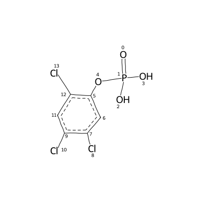 O=P(O)(O)Oc1cc(Cl)c(Cl)cc1Cl